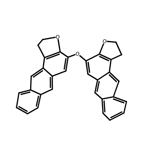 c1ccc2cc3c4c(c(Oc5cc6cc7ccccc7cc6c6c5OCC6)cc3cc2c1)OCC4